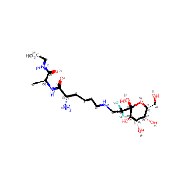 C[C@H](NC(=O)[C@@H](N)CCCCNCC(F)(F)C1(O)O[C@H](CO)[C@H](O)[C@H](O)[C@H]1O)C(=O)NCC(=O)O